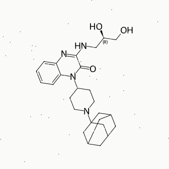 O=c1c(NC[C@@H](O)CO)nc2ccccc2n1C1CCN(C23CC4CC(CC(C4)C2)C3)CC1